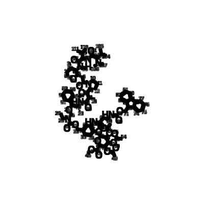 CC[C@H](C)[C@@H]([C@@H](CC(=O)N1CCC[C@H]1[C@H](OC)[C@@H](C)C(=O)N[C@H](C)[C@@H](OCN(CC)C(=O)OCc1ccc(O[C@@H]2O[C@H](C(=O)OC)[C@@H](OC(C)=O)[C@H](OC(C)=O)[C@H]2OC(C)=O)c(NC(=O)CCNC(=O)OCC2c3ccccc3-c3ccccc32)c1)c1ccccc1)OC)N(C)C(=O)[C@@H](NC(=O)[C@H](C(C)C)N(C)C)C(C)C